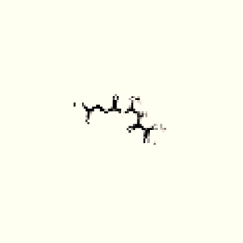 C=C(C)C(=O)NC(C)OC(=O)CCC(=O)O